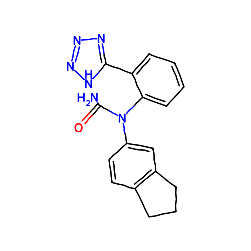 NC(=O)N(c1ccc2c(c1)CCC2)c1ccccc1-c1nnn[nH]1